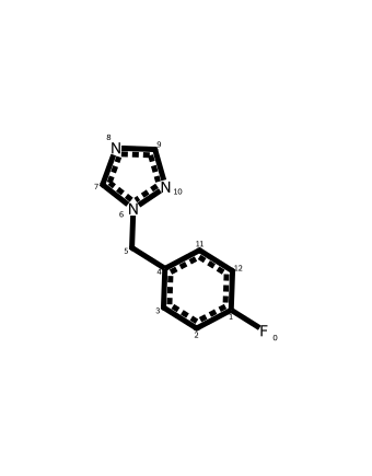 Fc1ccc(Cn2cncn2)cc1